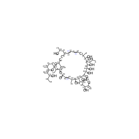 CCCC1(O)C(O)C(C)C/C=C/C=C/C(CC(C)O)CCC2OC3(CCC(C)C(C(C)C(O)CC)O3)C(C)C(OC(=O)/C=C/C(C)C(O)C(C)C(O)C(OC3CCC(O)C(C)O3)C(O)C(O)C1O)C2C